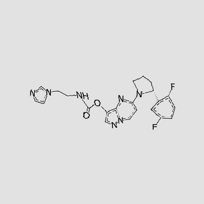 O=C(NCCn1ccnc1)Oc1cnn2ccc(N3CCC[C@@H]3c3cc(F)ccc3F)nc12